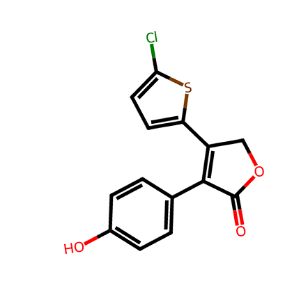 O=C1OCC(c2ccc(Cl)s2)=C1c1ccc(O)cc1